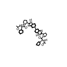 CC(=O)NC(C(=O)N1CCCC1c1nc2cc(-c3ccc4[nH]c(C5CCCN5C(=O)C(NC(C)=O)c5ccccc5)nc4c3)ccc2[nH]1)c1ccccc1